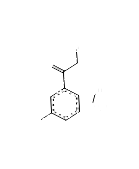 CCOC(C)=O.O=C(CBr)c1cccc(O)c1